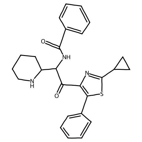 O=C(NC(C(=O)c1nc(C2CC2)sc1-c1ccccc1)C1CCCCN1)c1ccccc1